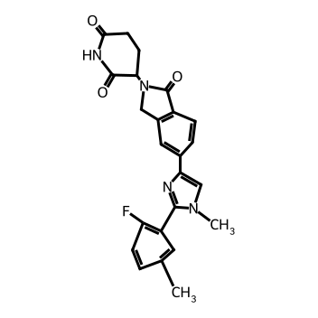 Cc1ccc(F)c(-c2nc(-c3ccc4c(c3)CN(C3CCC(=O)NC3=O)C4=O)cn2C)c1